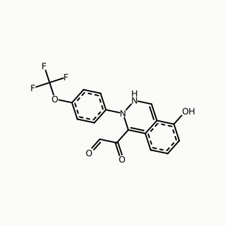 O=CC(=O)C1=c2cccc(O)c2=CNN1c1ccc(OC(F)(F)F)cc1